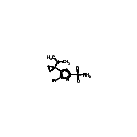 CC(C)n1nc(S(N)(=O)=O)cc1C1(N(C)C)CC1